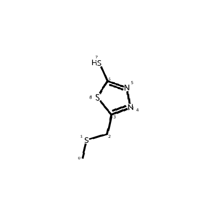 CSCc1nnc(S)s1